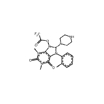 Cc1ccccc1N1c2c(n(C)c(=O)n(C)c2=O)N(OC(=O)C(F)(F)F)C1N1CCNCC1